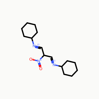 O=[N+]([O-])C(/C=N/C1CCCCC1)/C=N/C1CCCCC1